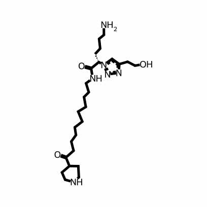 NCCCC[C@@H](C(=O)NCCCCCCCCCCC(=O)C1CCNCC1)n1cc(CCO)nn1